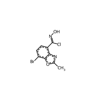 Cc1nc2c(/C(Cl)=N/O)ccc(Br)c2o1